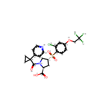 O=C(O)[C@@H]1C[C@@H](S(=O)(=O)c2ccc(OCC(F)(F)F)cc2Cl)CN1C(=O)C1(c2ccncc2)CC1